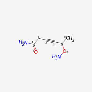 CC(C#CCC(N)=O)ON